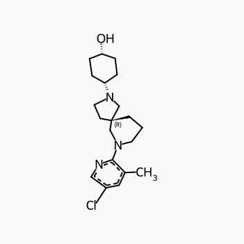 Cc1cc(Cl)cnc1N1CCC[C@]2(CCN([C@H]3CC[C@@H](O)CC3)C2)C1